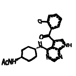 CC(=O)N[C@H]1CC[C@H](Nc2ncnc3[nH]cc(C(=O)c4ccccc4Cl)c23)CC1